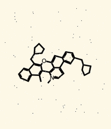 Cc1c2c(c(CC3CCCC3)c3ccccc13)Oc1cc3ccc(CC4CCCC4)cc3c3cc[n+](C)c-2c13